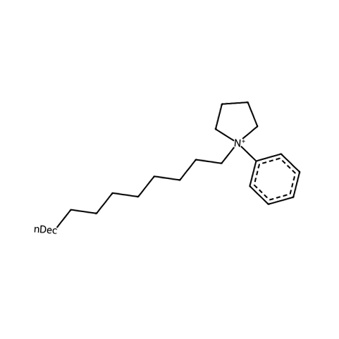 CCCCCCCCCCCCCCCCCC[N+]1(c2ccccc2)CCCC1